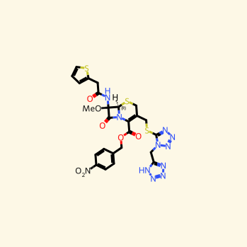 COC1(NC(=O)Cc2cccs2)C(=O)N2C(C(=O)OCc3ccc([N+](=O)[O-])cc3)=C(CSc3nnnn3Cc3nnn[nH]3)CS[C@@H]21